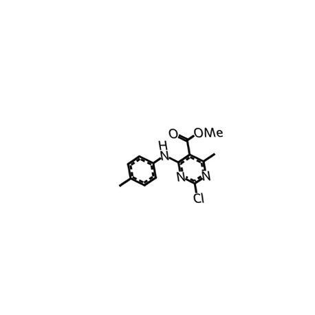 COC(=O)c1c(C)nc(Cl)nc1Nc1ccc(C)cc1